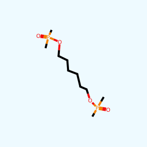 CP(C)(=O)OCCCCCCOP(C)(C)=O